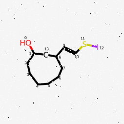 OC1CCCCCCC(/C=C/SI)C1